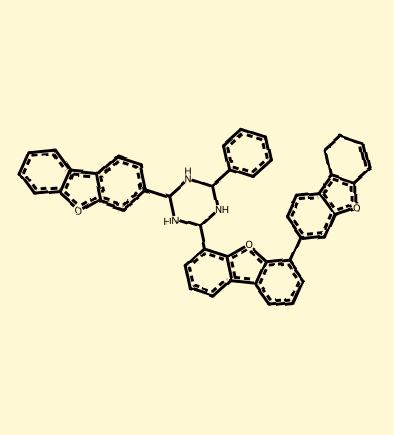 C1=Cc2oc3cc(-c4cccc5c4oc4c(C6NC(c7ccccc7)NC(c7ccc8c(c7)oc7ccccc78)N6)cccc45)ccc3c2CC1